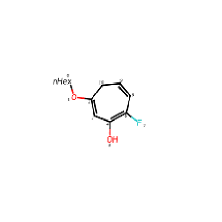 CCCCCCOC1=CC(O)=C(F)C=CC1